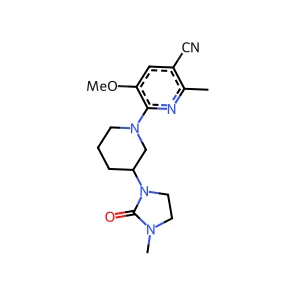 COc1cc(C#N)c(C)nc1N1CCCC(N2CCN(C)C2=O)C1